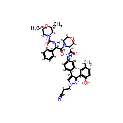 Cc1ccc(O)c(-c2nn(CCC#N)cc2-c2ccc(NC(=O)[C@@H]3COCCN3C(=O)[C@H](NC(=O)N3C[C@@H](C)O[C@@H](C)C3)c3ccccc3)cc2)c1